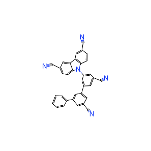 N#Cc1cc(-c2ccccc2)cc(-c2cc(C#N)cc(-n3c4ccc(C#N)cc4c4cc(C#N)ccc43)c2)c1